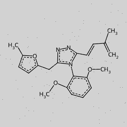 C=C(C)/C=C/c1nnc(Cc2ccc(C)o2)n1-c1c(OC)cccc1OC